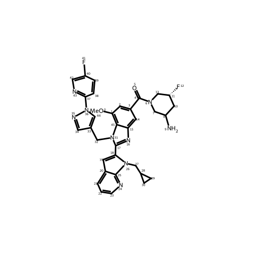 COc1cc(C(=O)N2CC(N)C[C@@H](F)C2)cc2nc(-c3cc4cccnc4n3CC3CC3)n(Cc3cnn(-c4ccc(F)cn4)c3)c12